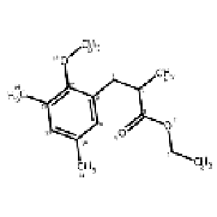 CCOC(=O)C(C)Cc1cc(C)cc(C)c1OC